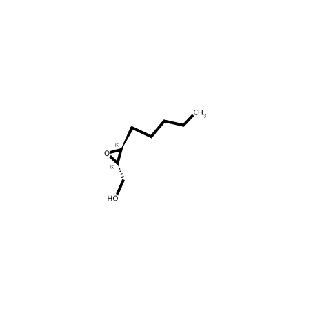 CCCCC[C@@H]1O[C@H]1CO